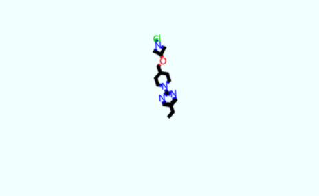 CCc1cnc(N2CCC(COC3CN(Cl)C3)CC2)nc1